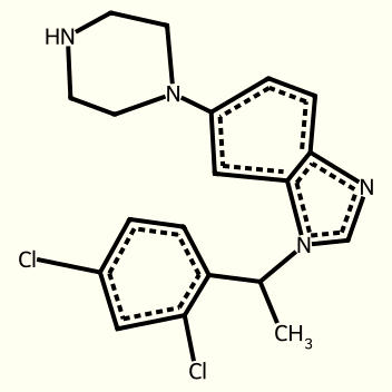 CC(c1ccc(Cl)cc1Cl)n1cnc2ccc(N3CCNCC3)cc21